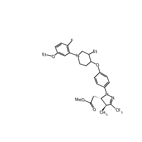 CCOc1ccc(F)c(N2CCC(Oc3ccc(N4N=C(C(F)(F)F)[C@@H](C)[C@@H]4CC(=O)OC)cc3)C(CC)C2)c1